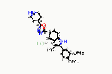 COc1ccc(-c2[nH]c3ccc(-c4nnc(C5CCNCC5)o4)cc3c2C(C)C)cc1OC.Cl